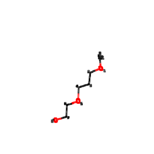 CCOCCCOCC[O]